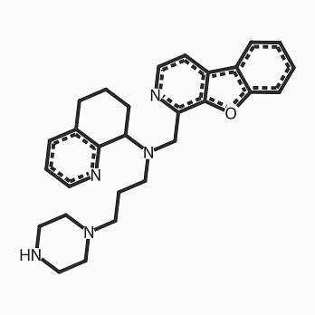 c1cnc2c(c1)CCCC2N(CCCN1CCNCC1)Cc1nccc2c1oc1ccccc12